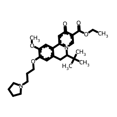 CCOC(=O)c1cn2c(cc1=O)-c1cc(OC)c(OCCCN3CCCC3)cc1CC2C(C)(C)C